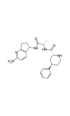 C[C@H](NC(=O)[C@H]1C[C@H](c2ccccc2)CCN1)C(=O)NC1CCc2nc(N)ccc21